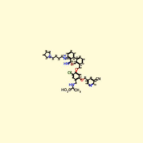 CC(NCc1cc(Cl)c(OCc2cccc(-c3cccc(NCCCCN4CCCC4)c3C=N)c2Br)cc1OCc1cncc(C#N)c1)C(=O)O